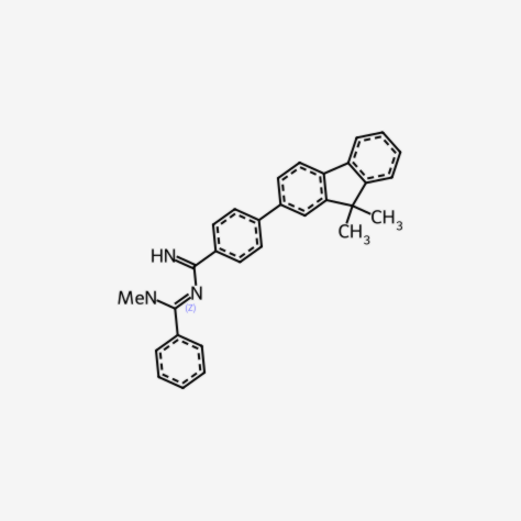 CN/C(=N\C(=N)c1ccc(-c2ccc3c(c2)C(C)(C)c2ccccc2-3)cc1)c1ccccc1